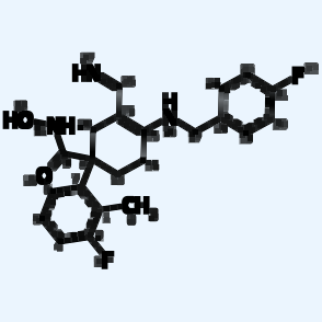 Cc1c(F)cccc1C1(C(=O)NO)CCC(NCc2ccc(F)cc2)=C(C=N)C1